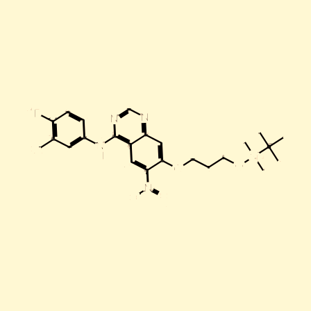 CC(C)(C)[Si](C)(C)OCCCOc1cc2ncnc(Nc3ccc(F)c(Cl)c3)c2cc1[N+](=O)[O-]